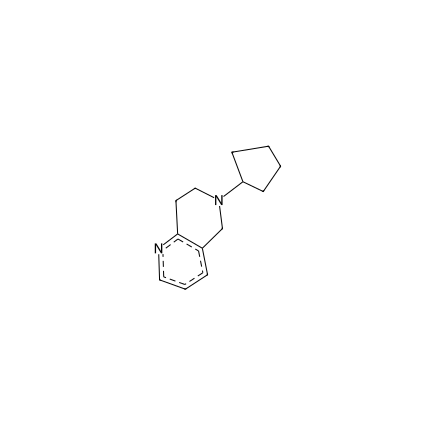 c1cnc2c(c1)CN(C1CCCC1)CC2